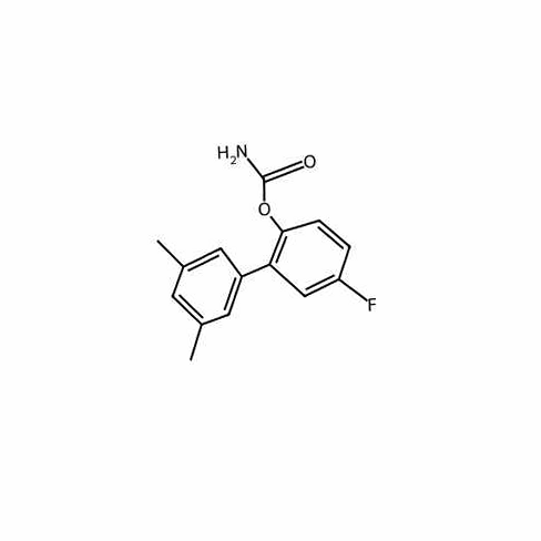 Cc1cc(C)cc(-c2cc(F)ccc2OC(N)=O)c1